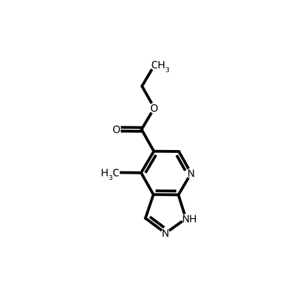 CCOC(=O)c1cnc2[nH]ncc2c1C